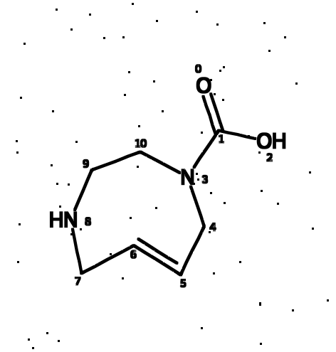 O=C(O)N1C/C=C/CNCC1